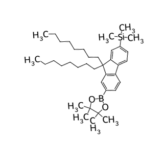 CCCCCCCCC1(CCCCCCCC)c2cc(B3OC(C)(C)C(C)(C)O3)ccc2-c2ccc([Si](C)(C)C)cc21